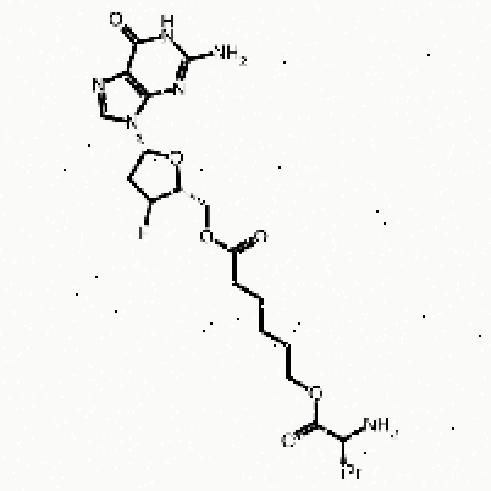 CC(C)[C@H](N)C(=O)OCCCCCC(=O)OC[C@H]1O[C@@H](n2cnc3c(=O)[nH]c(N)nc32)CC1F